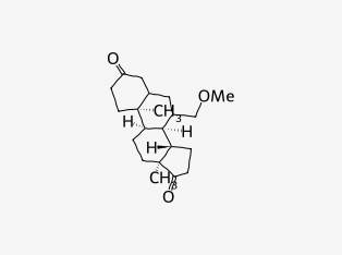 COCC1CC2CC(=O)CC[C@]2(C)[C@@H]2CC[C@]3(C)C(=O)CC[C@H]3[C@H]12